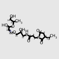 CSC1CC(=O)N(CCC(=O)NCC(O)CO/N=C\C(O)OC(C)CO)C1=O